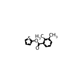 Cc1cccc(C(=O)Oc2cccs2)c1C